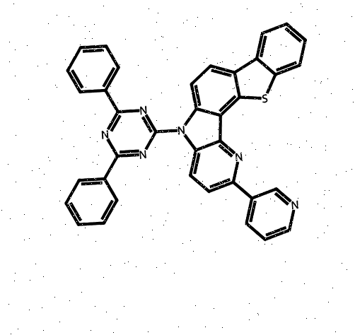 c1ccc(-c2nc(-c3ccccc3)nc(-n3c4ccc(-c5cccnc5)nc4c4c5sc6ccccc6c5ccc43)n2)cc1